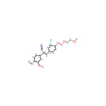 COCCOCOc1ccc(/C=C(\C#N)c2ccc(OC)c(OC)c2)cc1F